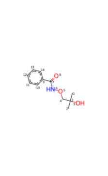 CC(C)(O)CONC(=O)c1ccccc1